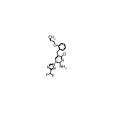 C=CCOc1ccccc1CC1=CN(n2cnc(C(F)F)n2)C(N)N=C1Cl